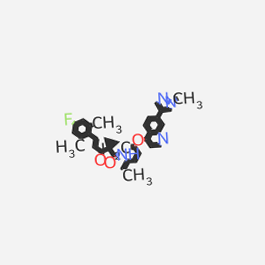 C=C(/C=C\C(=C/C)NC(=O)C1(C(=O)/C=C/c2c(C)cc(F)cc2C)CC1)Oc1ccnc2cc(-c3cnn(C)c3)ccc12